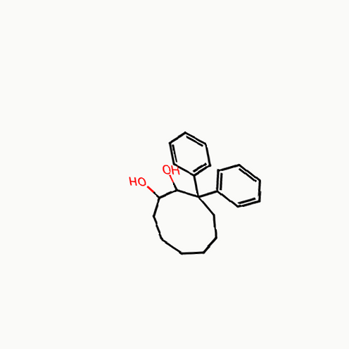 OC1CCCCCCC(c2ccccc2)(c2ccccc2)C1O